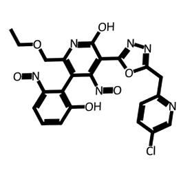 CCOCc1nc(O)c(-c2nnc(Cc3ccc(Cl)cn3)o2)c(N=O)c1-c1c(O)cccc1N=O